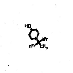 CCCC(C)(CCC)N1CCC(O)CC1